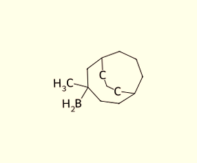 BC1(C)CCC2CCCC(CCC2)C1